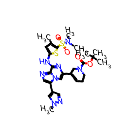 Cc1cc(Nc2nc(C3=CCCN(C(=O)OC(C)(C)C)C3)cn3c(-c4cnn(C)c4)cnc23)sc1S(=O)(=O)N(C)C